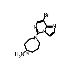 N[C@@H]1CCCN(c2ncc(Br)c3nccn23)CC1